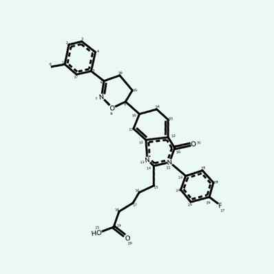 Cc1cccc(C2=NOC(C3C=c4nc(CCCCC(=O)O)n(-c5ccc(F)cc5)c(=O)c4=CC3)CC2)c1